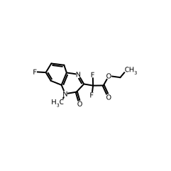 CCOC(=O)C(F)(F)c1nc2ccc(F)cc2n(C)c1=O